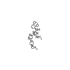 CN1CCN(c2cc(-n3nc(Nc4cccc5c4OCCO5)nc3N)ncn2)CC1